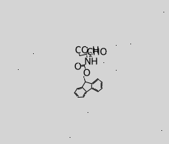 O=C[C@H](CC(=O)O)NC(=O)OCC1c2ccccc2-c2ccccc21